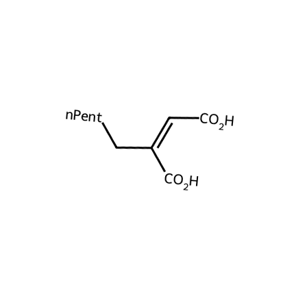 CCCCCC/C(=C/C(=O)O)C(=O)O